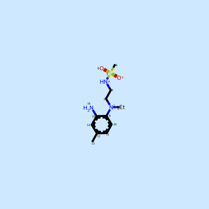 CCN(CCNS(C)(=O)=O)c1ccc(C)cc1N